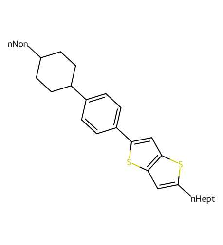 CCCCCCCCCC1CCC(c2ccc(-c3cc4sc(CCCCCCC)cc4s3)cc2)CC1